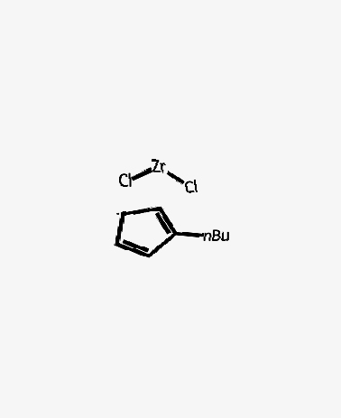 CCCCC1=C[CH]C=C1.[Cl][Zr][Cl]